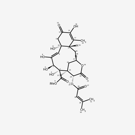 COC(=O)[C@@]1(O)[C@@H](O)/C(O)=C/[C@@]2(O)CC(=O)C(O)=C(C)[C@@H]2C[C@@H]2C[C@H]1[C@@H](OC(=O)C=C(C)C)C(=O)O2